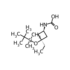 CC[C@]1(O[Si](C)(C)C(C)(C)C)C[C@@H](NC(=O)O)C1